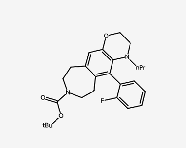 CCCN1CCOc2cc3c(c(-c4ccccc4F)c21)CCN(C(=O)OC(C)(C)C)CC3